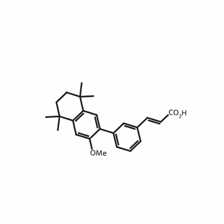 COc1cc2c(cc1-c1cccc(C=CC(=O)O)c1)C(C)(C)CCC2(C)C